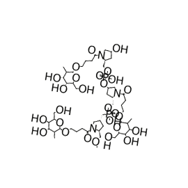 COC[C@@H]1C[C@@H](CP(=O)(O)OC[C@@H]2C[C@@H](OP(=O)(O)OC[C@@H]3C[C@@H](O)CN3C(=O)CCCO[C@@H]3OC(CO)[C@H](O)[C@H](O)C3C)CN2C(=O)CCCO[C@@H]2OC(CO)[C@H](O)[C@H](O)C2C)CN1C(=O)CCCO[C@@H]1OC(CO)[C@H](O)[C@H](O)C1C